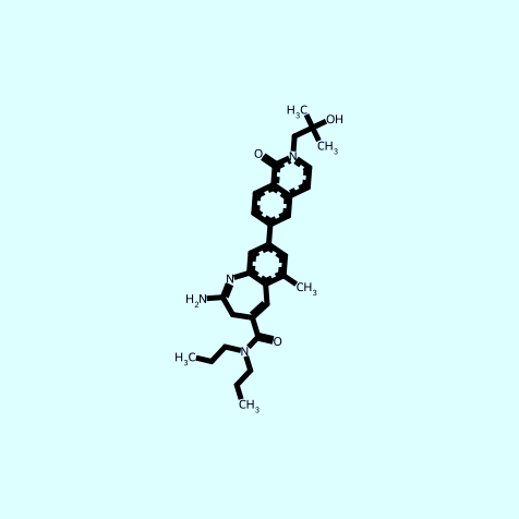 CCCN(CCC)C(=O)C1=Cc2c(C)cc(-c3ccc4c(=O)n(CC(C)(C)O)ccc4c3)cc2N=C(N)C1